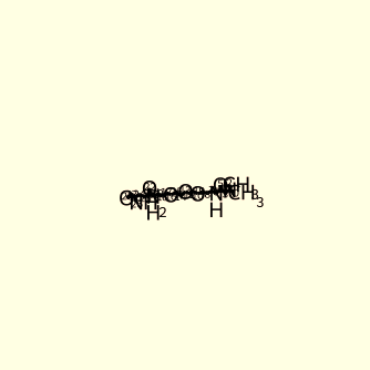 CN(C)CC(=O)NCCCOCCOCCOCCCNC(=O)CCC(N)C=O